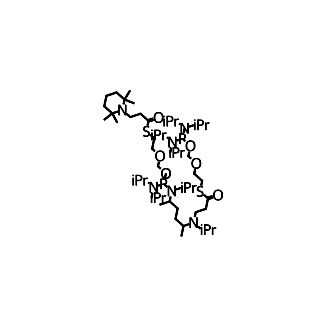 CC(C)N(CCC(=O)SCCOCOP(N(C(C)C)C(C)C)N(C(C)C)C(C)C)C(C)CCC(C)N(C(C)C)P(OCOCCSC(=O)CCN1C(C)(C)CCCC1(C)C)N(C(C)C)C(C)C